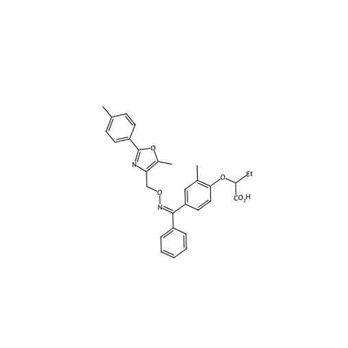 CCC(Oc1ccc(/C(=N\OCc2nc(-c3ccc(C)cc3)oc2C)c2ccccc2)cc1C)C(=O)O